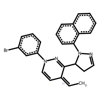 C/C=C1/C=CN(c2cccc(Br)c2)N=C1C1CC=NN1c1cccc2ccccc12